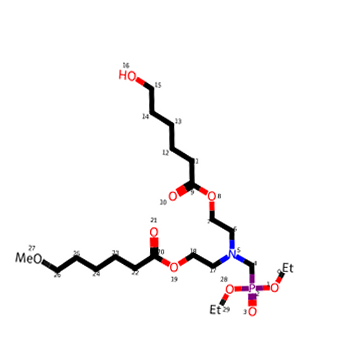 CCOP(=O)(CN(CCOC(=O)CCCCCO)CCOC(=O)CCCCCOC)OCC